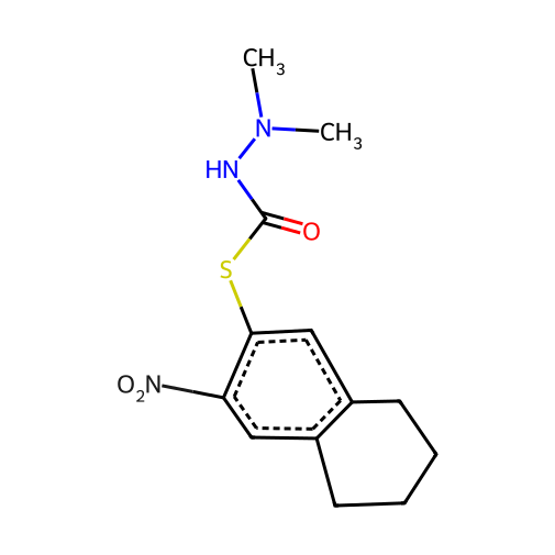 CN(C)NC(=O)Sc1cc2c(cc1[N+](=O)[O-])CCCC2